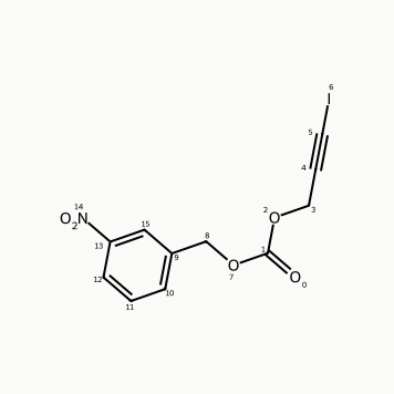 O=C(OCC#CI)OCc1cccc([N+](=O)[O-])c1